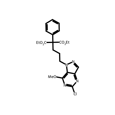 CCOC(=O)C(CCCn1ncc2nc(Cl)nc(OC)c21)(C(=O)OCC)c1ccccc1